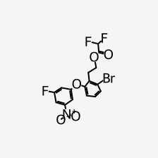 O=C(OCCc1c(Br)cccc1Oc1cc(F)cc([N+](=O)[O-])c1)C(F)F